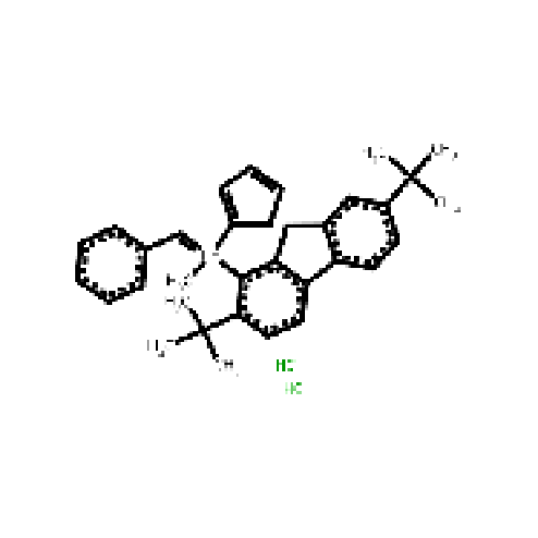 CC(C)(C)c1ccc2c(c1)Cc1c-2ccc(C(C)(C)C)[c]1[Hf]([CH3])(=[CH]c1ccccc1)[C]1=CC=CC1.Cl.Cl